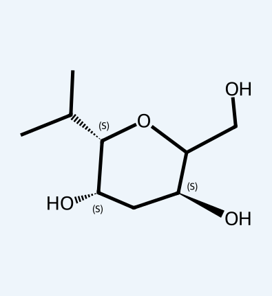 CC(C)[C@@H]1OC(CO)[C@@H](O)C[C@@H]1O